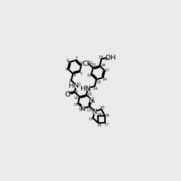 O=C(NCc1ccccc1)c1cnc(N2CC3CC(C3)C2)nc1NCc1ccc(CO)c(Cl)c1